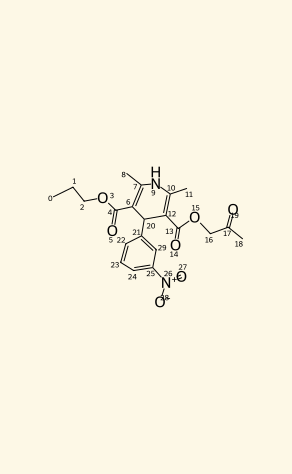 CCCOC(=O)C1=C(C)NC(C)=C(C(=O)OCC(C)=O)C1c1cccc([N+](=O)[O-])c1